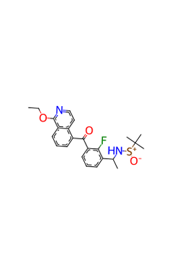 CCOc1nccc2c(C(=O)c3cccc(C(C)N[S+]([O-])C(C)(C)C)c3F)cccc12